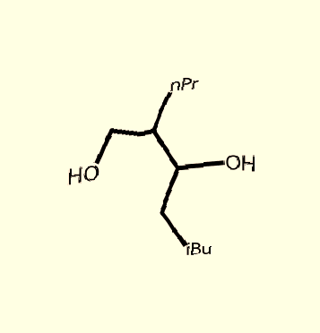 CCCC(CO)C(O)CC(C)CC